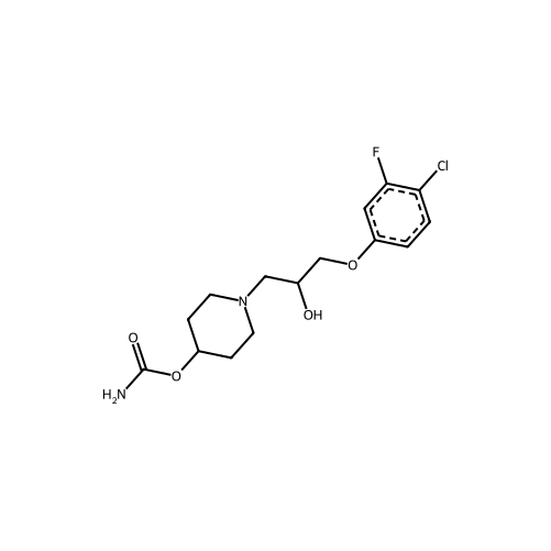 NC(=O)OC1CCN(CC(O)COc2ccc(Cl)c(F)c2)CC1